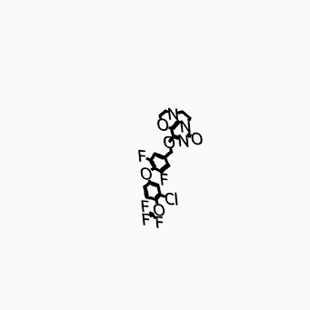 O=c1nc(OCc2cc(F)c(Oc3ccc(OC(F)(F)F)c(Cl)c3)c(F)c2)c2c3n1CCN3CCO2